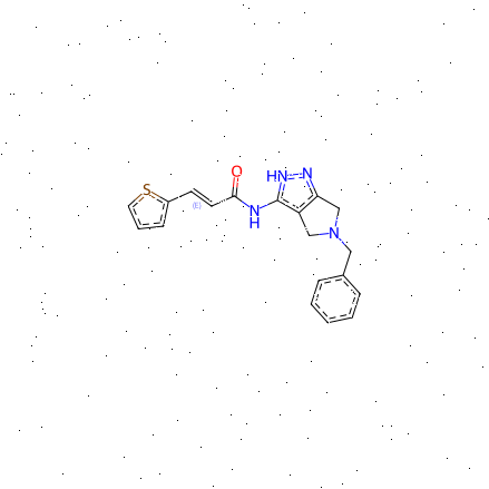 O=C(/C=C/c1cccs1)Nc1[nH]nc2c1CN(Cc1ccccc1)C2